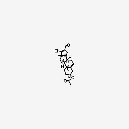 CC(=O)O[C@H]1CC[C@@]2(C)C(=CC[C@@H]3[C@@H]2CC[C@]2(C)C(Cl)=C(C=O)C[C@@]32C)C1